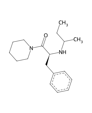 CCC(C)N[C@@H](Cc1ccccc1)C(=O)N1CCCCC1